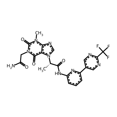 C[C@@H](C(=O)Nc1cccc(-c2cnc(C(F)(F)F)nc2)n1)n1cnc2c1c(=O)n(CC(N)=O)c(=O)n2C